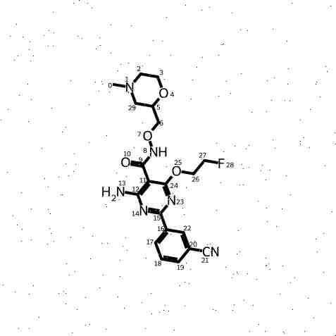 CN1CCOC(CONC(=O)c2c(N)nc(-c3cccc(C#N)c3)nc2OCCF)C1